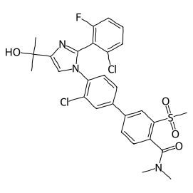 CN(C)C(=O)c1ccc(-c2ccc(-n3cc(C(C)(C)O)nc3-c3c(F)cccc3Cl)c(Cl)c2)cc1S(C)(=O)=O